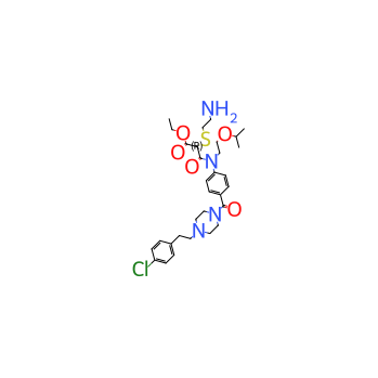 CCOC(=O)[C@H](SCCN)C(=O)N(CCOC(C)C)c1ccc(C(=O)N2CCN(CCc3ccc(Cl)cc3)CC2)cc1